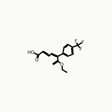 C=C(OCC)C(=CC=CC(=O)O)c1ccc(C(F)(F)F)cc1